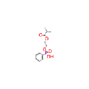 C=C(C)C(=O)OCCOP(=O)(O)c1ccccc1